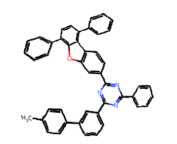 Cc1ccc(-c2cccc(-c3nc(-c4ccccc4)nc(-c4ccc5c(c4)oc4c(-c6ccccc6)ccc(-c6ccccc6)c45)n3)c2)cc1